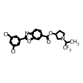 CC(N1CCC(OC(=O)c2ccc3nc(-c4cc(Cl)cc(Cl)c4)oc3c2)C1)C(F)(F)F